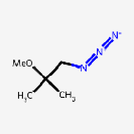 COC(C)(C)CN=[N+]=[N-]